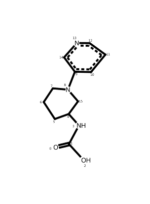 O=C(O)NC1CCCN(c2cccnc2)C1